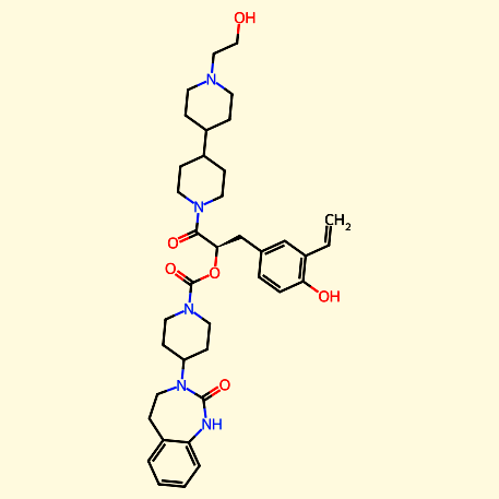 C=Cc1cc(C[C@@H](OC(=O)N2CCC(N3CCc4ccccc4NC3=O)CC2)C(=O)N2CCC(C3CCN(CCO)CC3)CC2)ccc1O